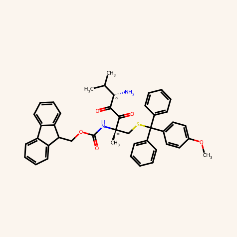 COc1ccc(C(SC[C@](C)(NC(=O)OCC2c3ccccc3-c3ccccc32)C(=O)C(=O)[C@@H](N)C(C)C)(c2ccccc2)c2ccccc2)cc1